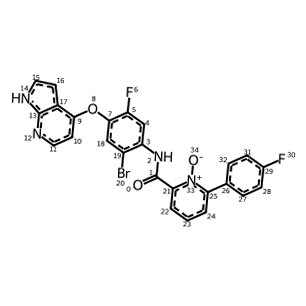 O=C(Nc1cc(F)c(Oc2ccnc3[nH]ccc23)cc1Br)c1cccc(-c2ccc(F)cc2)[n+]1[O-]